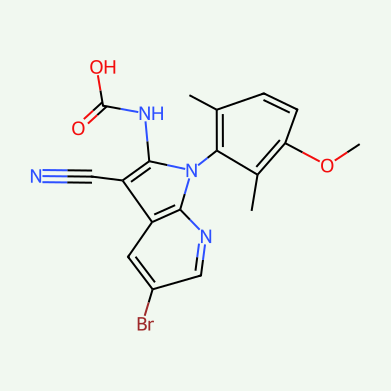 COc1ccc(C)c(-n2c(NC(=O)O)c(C#N)c3cc(Br)cnc32)c1C